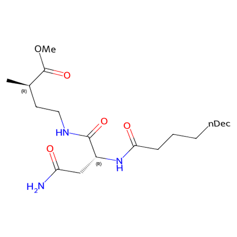 CCCCCCCCCCCCCC(=O)N[C@H](CC(N)=O)C(=O)NCC[C@@H](C)C(=O)OC